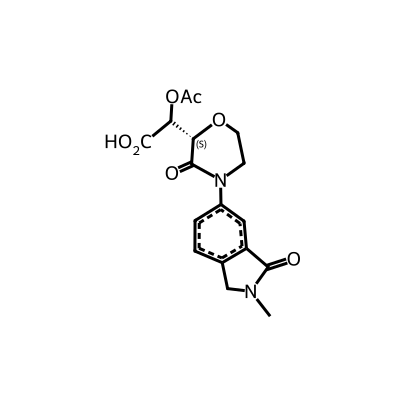 CC(=O)OC(C(=O)O)[C@@H]1OCCN(c2ccc3c(c2)C(=O)N(C)C3)C1=O